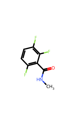 CNC(=O)c1c(F)ccc(F)c1F